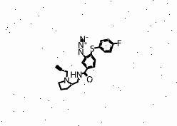 C#CCN1CCCC1CNC(=O)c1ccc(Sc2ccc(F)cc2)c(N=[N+]=[N-])c1